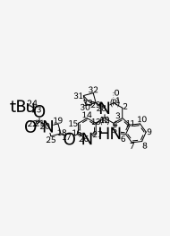 C[C@@H]1Cc2c([nH]c3ccccc23)[C@@H](c2ccc(OC3CN(C(=O)OC(C)(C)C)C3)nc2)N1C12CC(C1)C2